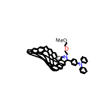 COCCOCCN1CC23Cc4cc5cc6cc7cc8cc9c%10c%11c%12c(c%13c2c4c2c5c4c6c7c5c8c%10c6c%12c%13c2c4c56)=C(CC=%11C9)C3C1c1ccc(N(c2ccccc2)c2ccccc2)cc1